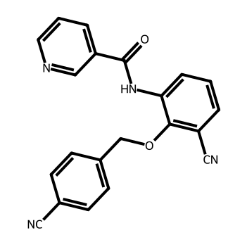 N#Cc1ccc(COc2c(C#N)cccc2NC(=O)c2cccnc2)cc1